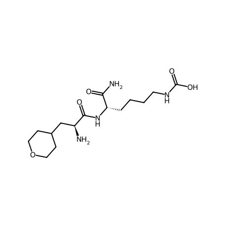 NC(=O)[C@H](CCCCNC(=O)O)NC(=O)[C@@H](N)CC1CCOCC1